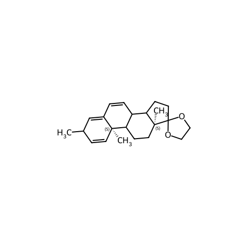 CC1C=C[C@@]2(C)C(=C1)C=CC1C2CC[C@@]2(C)C1CCC21OCCO1